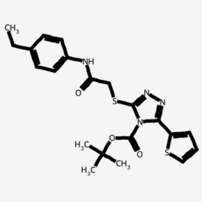 CCc1ccc(NC(=O)CSc2nnc(-c3cccs3)n2C(=O)OC(C)(C)C)cc1